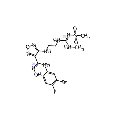 CN/C(=N\S(C)(=O)=O)NCCNc1nonc1/C(=N/O)Nc1ccc(F)c(Br)c1